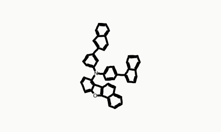 c1cc(-c2ccc3ccccc3c2)cc(N(c2ccc(-c3cccc4ccccc34)cc2)c2cccc3oc4c5ccccc5ccc4c23)c1